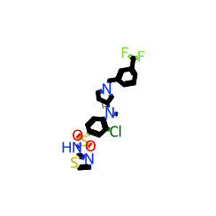 CN(c1ccc(S(=O)(=O)Nc2nccs2)cc1Cl)[C@H]1CCN(Cc2cccc(C(F)F)c2)C1